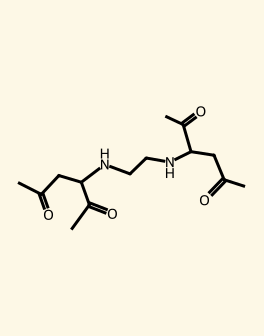 CC(=O)CC(NCCNC(CC(C)=O)C(C)=O)C(C)=O